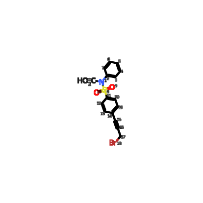 O=C(O)N(c1ccccc1)S(=O)(=O)c1ccc(C#CCBr)cc1